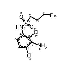 Nc1c(Cl)ccc(NS(=O)(=O)CCCF)c1Cl